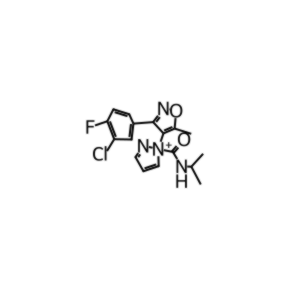 Cc1onc(-c2ccc(F)c(Cl)c2)c1[N+]1(C(=O)NC(C)C)C=CC=N1